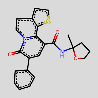 CC1(NC(=O)c2cc(-c3ccccc3)c(=O)n3ccc4ccsc4c23)CCCO1